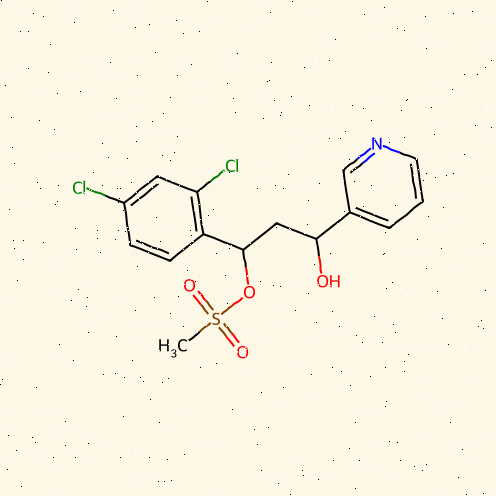 CS(=O)(=O)OC(CC(O)c1cccnc1)c1ccc(Cl)cc1Cl